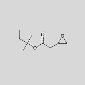 CCC(C)(C)OC(=O)CC1CO1